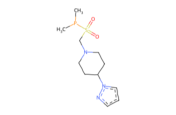 CP(C)S(=O)(=O)CN1CCC(n2cccn2)CC1